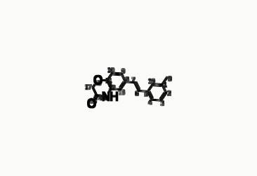 Cc1cccc(C=Cc2ccc3c(c2)NC(=O)CO3)c1